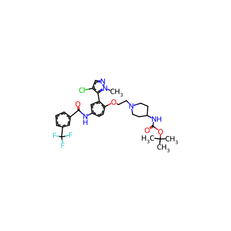 Cn1ncc(Cl)c1-c1cc(NC(=O)c2cccc(C(F)(F)F)c2)ccc1OCCN1CCC(NC(=O)OC(C)(C)C)CC1